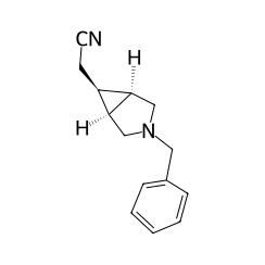 N#CC[C@H]1[C@H]2CN(Cc3ccccc3)C[C@@H]12